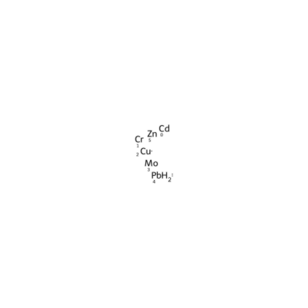 [Cd].[Cr].[Cu].[Mo].[PbH2].[Zn]